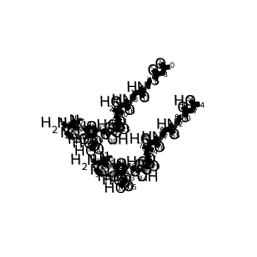 CC(=O)CC(=O)SCCNC(=O)CCNC(=O)[C@H](O)C(C)(C)COP(=O)(O)OP(=O)(O)OC[C@H]1O[C@@H](n2cnc3c(N)ncnc32)[C@H](O)[C@@H]1OP(=O)(O)O.CC(O)CC(=O)SCCNC(=O)CCNC(=O)[C@H](O)C(C)(C)COP(=O)(O)OP(=O)(O)OC[C@H]1O[C@@H](n2cnc3c(N)ncnc32)[C@H](O)[C@@H]1OP(=O)(O)O